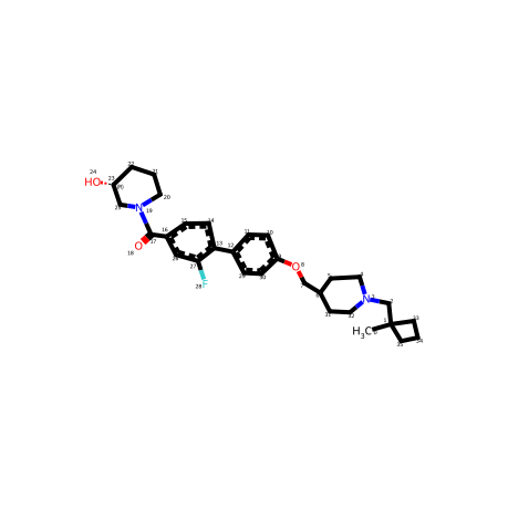 CC1(CN2CCC(COc3ccc(-c4ccc(C(=O)N5CCC[C@@H](O)C5)cc4F)cc3)CC2)CCC1